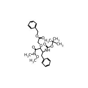 CON(C)C(=O)C(OCC(=O)OCc1ccccc1)C(Cc1ccccc1)NC(=O)OC(C)(C)C